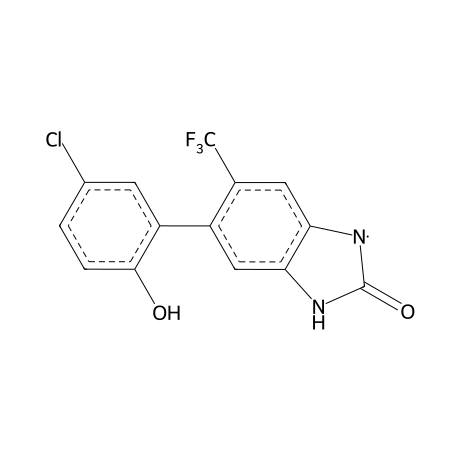 O=C1[N]c2cc(C(F)(F)F)c(-c3cc(Cl)ccc3O)cc2N1